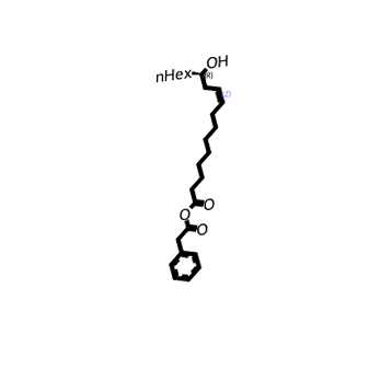 CCCCCC[C@@H](O)C/C=C\CCCCCCCC(=O)OC(=O)Cc1ccccc1